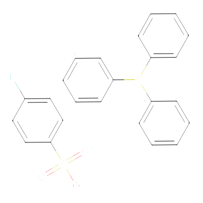 O=S(=O)([O-])c1ccc(F)cc1.c1ccc([S+](c2ccccc2)c2ccccc2)cc1